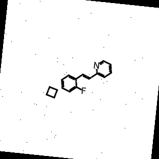 C1CCC1.Fc1ccccc1C=Cc1ccccn1